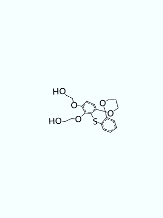 OCCOc1ccc2c(c1OCCO)Sc1ccccc1C21OCCCO1